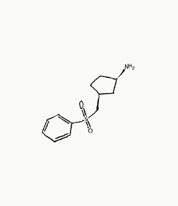 N[C@@H]1CC[C@H](CS(=O)(=O)c2ccccc2)C1